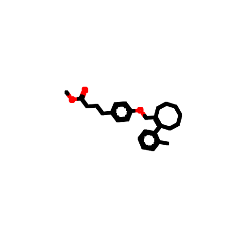 COC(=O)CCCc1ccc(OC/C2=C(\c3ccccc3C)CCCCCC2)cc1